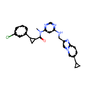 CN(C(=O)C1CC1c1cccc(Cl)c1)c1cc(NCc2cn3cc(C4CC4)ccc3n2)ncn1